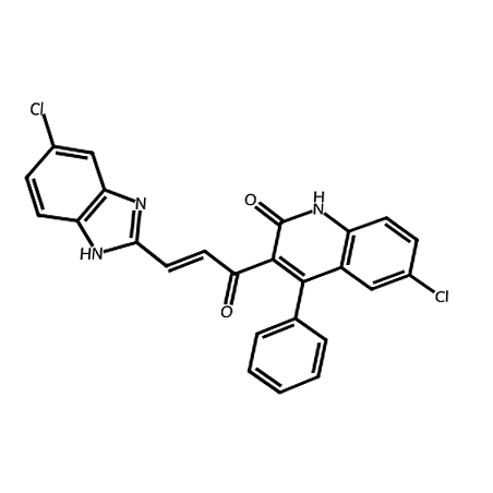 O=C(/C=C/c1nc2cc(Cl)ccc2[nH]1)c1c(-c2ccccc2)c2cc(Cl)ccc2[nH]c1=O